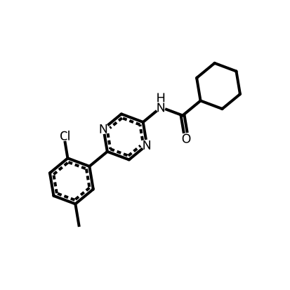 Cc1ccc(Cl)c(-c2cnc(NC(=O)C3CCCCC3)cn2)c1